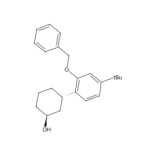 CC(C)(C)c1ccc([C@H]2CCC[C@H](O)C2)c(OCc2ccccc2)c1